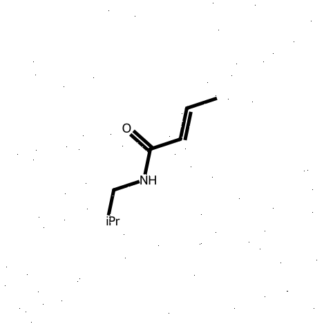 CC=CC(=O)NCC(C)C